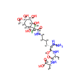 C[C@H](NC(=O)[C@H](C)NC(=O)[C@H](CCCCNC(=O)C(F)(F)C1(O)C[C@H](CO)[C@H](O)[C@H](O)[C@H]1O)NN)C(=O)O